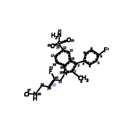 Cc1c(-c2ccc(F)cc2)c2cc(S(N)(=O)=O)ccc2n1C/C(F)=C/CNCl